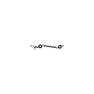 CC(=O)CCc1ccc(OCCCCCCCCCCOc2ccc(Cl)cc2)cc1